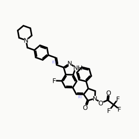 O=C1/C(=C/c2cc(F)c3c(/C=C/c4ccc(CN5CCCCC5)cc4)n[nH]c3c2)C(c2ccccc2)CN1OC(=O)C(F)(F)F